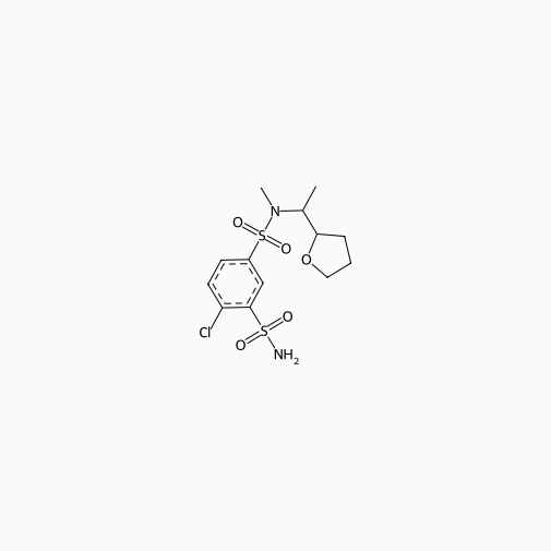 CC(C1CCCO1)N(C)S(=O)(=O)c1ccc(Cl)c(S(N)(=O)=O)c1